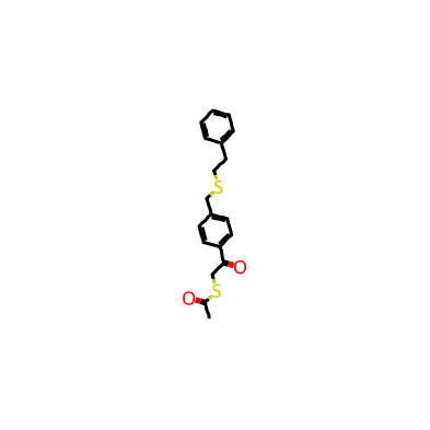 CC(=O)SCC(=O)c1ccc(CSCCc2ccccc2)cc1